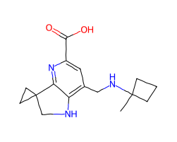 CC1(NCc2cc(C(=O)O)nc3c2NCC32CC2)CCC1